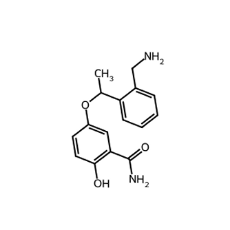 CC(Oc1ccc(O)c(C(N)=O)c1)c1ccccc1CN